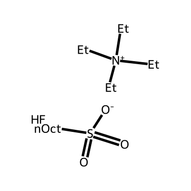 CCCCCCCCS(=O)(=O)[O-].CC[N+](CC)(CC)CC.F